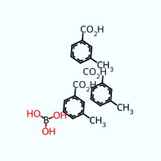 Cc1cccc(C(=O)O)c1.Cc1cccc(C(=O)O)c1.Cc1cccc(C(=O)O)c1.OB(O)O